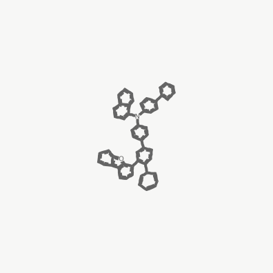 C1=CC=CC(c2ccc(-c3ccc(N(c4ccc(-c5ccccc5)cc4)c4cccc5ccccc45)cc3)cc2-c2cccc3c2oc2ccccc23)C=C1